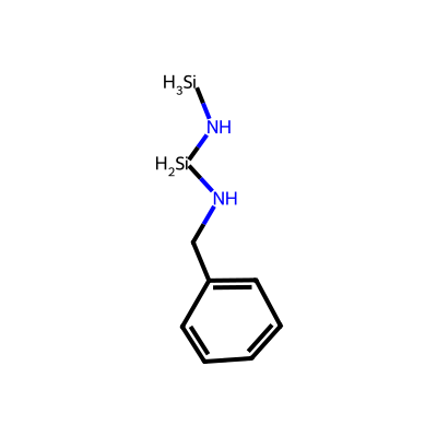 [SiH3]N[SiH2]NCc1ccccc1